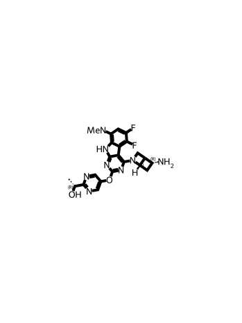 CNc1cc(F)c(F)c2c1[nH]c1nc(Oc3cnc([C@@H](C)O)nc3)nc(N3CC4[C@H](N)C[C@@H]43)c12